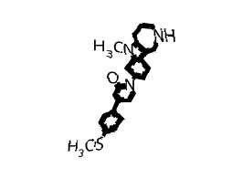 CSc1ccc(-c2ccn(-c3ccc4c5c(n(C)c4c3)CCCNC5)c(=O)c2)cc1